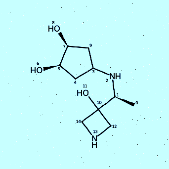 C[C@H](NC1C[C@@H](O)[C@@H](O)C1)C1(O)CNC1